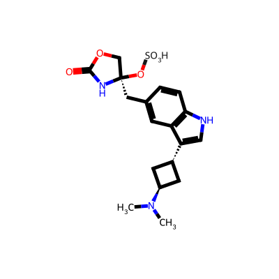 CN(C)[C@H]1C[C@H](c2c[nH]c3ccc(C[C@@]4(OS(=O)(=O)O)COC(=O)N4)cc32)C1